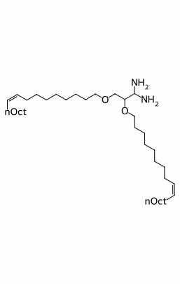 CCCCCCCC/C=C\CCCCCCCCOCC(OCCCCCCCC/C=C\CCCCCCCC)C(N)N